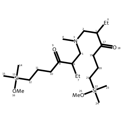 CCC(CN(C)CC(CC)C(=O)CCC[Si](C)(C)OC)C(=O)CCC[Si](C)(C)OC